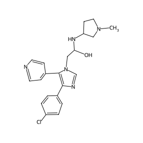 CN1CCC(NC(O)Cn2cnc(-c3ccc(Cl)cc3)c2-c2ccncc2)C1